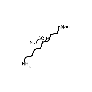 CCCCCCCCCCCCCCCCCN.O=S(=O)(O)O